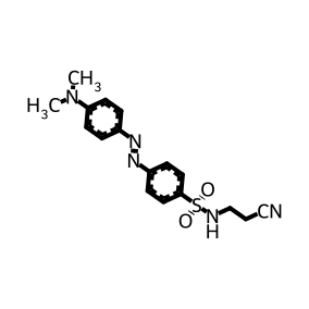 CN(C)c1ccc(/N=N/c2ccc(S(=O)(=O)NCCC#N)cc2)cc1